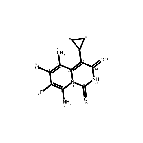 Cc1c(Cl)c(F)c(N)n2c(=O)[nH]c(=O)c(C3CC3)c12